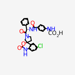 O=C(O)Nc1ccc(C(=O)N[C@H](C(=O)N2CCC3(C2)OC(=O)Nc2ccc(Cl)cc23)c2ccccc2)cc1